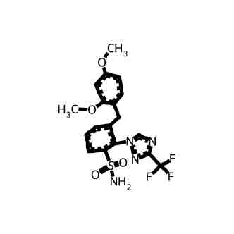 COc1ccc(Cc2cccc(S(N)(=O)=O)c2-n2cnc(C(F)(F)F)n2)c(OC)c1